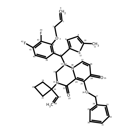 C=CCOc1c(C(c2ccc(C)s2)N2CN(C3(C=C)CCC3)C(=O)c3c(OCc4ccccc4)c(=O)ccn32)ccc(F)c1F